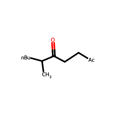 CCCCC(C)C(=O)CCC(C)=O